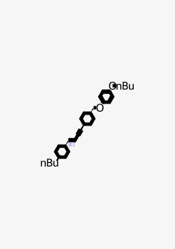 CCCCOc1ccc(OC[C@H]2CC[C@H](C#C/C=C/[C@H]3CC[C@H](CCCC)CC3)CC2)cc1